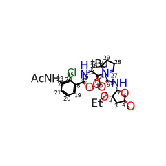 CCO[C@H]1CC(=O)O[C@H]1NC(=O)[N+]1(C(=O)[C@@H](NC(=O)c2cccc(NC(C)=O)c2Cl)C(C)(C)C)CCCC1